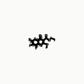 CCOC(=O)c1c(SC)sc2c(F)c(F)c(F)cc2c1=O